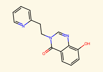 O=c1c2cccc(O)c2ncn1CCc1ccccn1